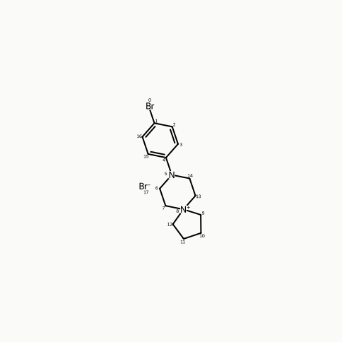 Brc1ccc(N2CC[N+]3(CCCC3)CC2)cc1.[Br-]